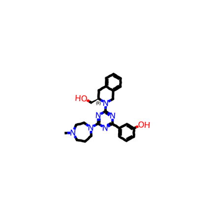 CN1CCCN(c2nc(-c3cccc(O)c3)nc(N3Cc4ccccc4C[C@@H]3CO)n2)CC1